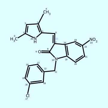 Cc1cc(C)c(/C=C2\C(=O)N(Cc3cccc(Cl)c3)c3ccc([N+](=O)[O-])cc32)[nH]1